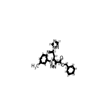 Cc1ccc2c(c1)-n1nnc(C(=O)OCc3ccccc3)c1CC(n1cncn1)=N2